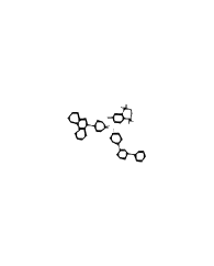 Cc1cc2c(cc1N(c1ccc(-c3cccc(-c4ccccc4)c3)cc1)c1ccc(-c3cc4ccccc4c4ccccc34)cc1)C(C)(C)CCC2(C)C